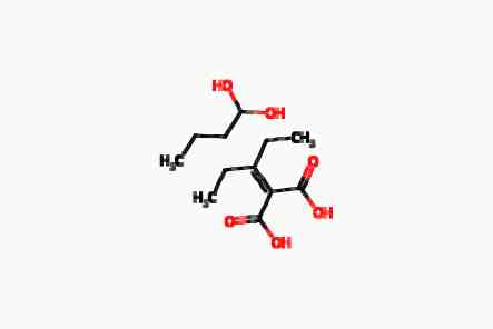 CCC(CC)=C(C(=O)O)C(=O)O.CCCC(O)O